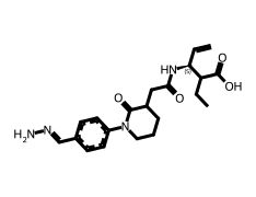 C=C[C@H](NC(=O)CC1CCCN(c2ccc(C=NN)cc2)C1=O)C(CC)C(=O)O